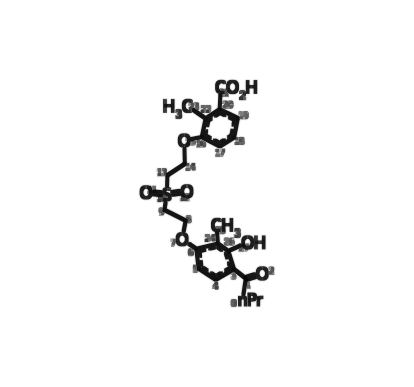 CCCC(=O)c1ccc(OCCS(=O)(=O)CCOc2cccc(C(=O)O)c2C)c(C)c1O